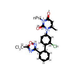 CCCn1c(=O)cc(C)n(-c2ccc(-c3ccccc3-c3noc(C(Cl)(Cl)Cl)n3)c(Cl)c2)c1=O